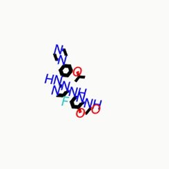 CC(C)Oc1cc(Nc2ncc(F)c(Nc3ccc4c(n3)NC(=O)CO4)n2)cc(N2CCN(C)CC2)c1